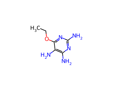 CCOc1nc(N)nc(N)c1N